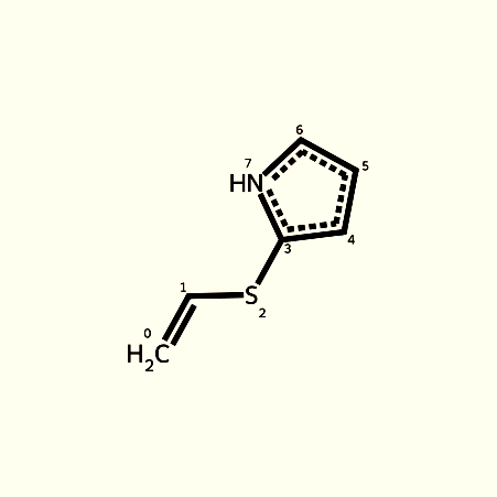 C=CSc1ccc[nH]1